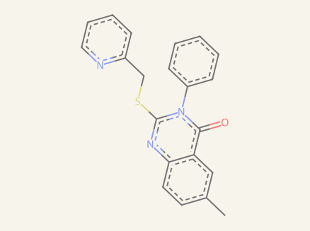 Cc1ccc2nc(SCc3ccccn3)n(-c3ccccc3)c(=O)c2c1